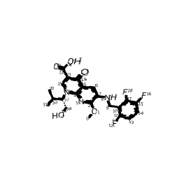 COc1nc2c(cc1NCc1c(F)ccc(F)c1F)c(=O)c(C(=O)O)cn2[C@H](CO)C(C)C